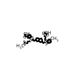 CCS(=S)CCCN1/C(=C/C2=CC3=C/C(=C/c4sc5ccc(C)cc5[n+]4CCCS(=O)(=O)O)CCC3CC2)Sc2ccc([S+](C)[O-])cc21